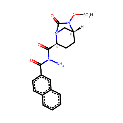 NN(C(=O)c1ccc2ccccc2c1)C(=O)[C@@H]1CC[C@@H]2CN1C(=O)N2OS(=O)(=O)O